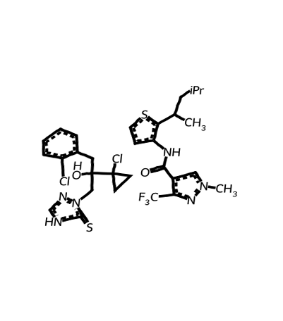 CC(C)CC(C)c1sccc1NC(=O)c1cn(C)nc1C(F)(F)F.OC(Cc1ccccc1Cl)(Cn1nc[nH]c1=S)C1(Cl)CC1